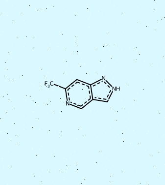 FC(F)(F)c1cc2n[nH]cc2cn1